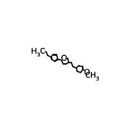 CCCc1ccc(C2CCC(CCC3CCC(OC)CC3)CO2)cc1